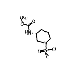 CC(C)(C)OC(=O)N[C@@H]1CCCN(S(=O)(=O)Cl)C1